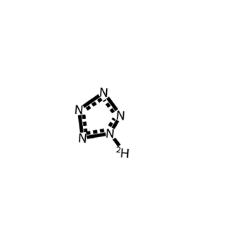 [2H]n1nnnn1